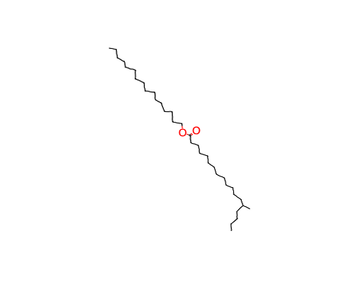 CCCCCCCCCCCCCCCCOC(=O)CCCCCCCCCCCCC(C)CCCC